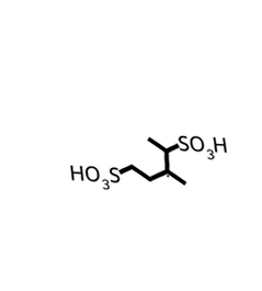 C[C](CCS(=O)(=O)O)C(C)S(=O)(=O)O